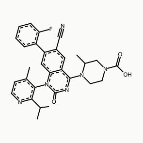 Cc1ccnc(C(C)C)c1-n1c(=O)nc(N2CCN(C(=O)O)CC2C)c2cc(C#N)c(-c3ccccc3F)cc21